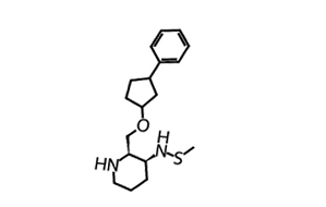 CSN[C@H]1CCCN[C@H]1COC1CCC(c2ccccc2)C1